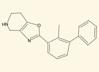 Cc1c(-c2ccccc2)cccc1-c1nc2c(o1)CCNC2